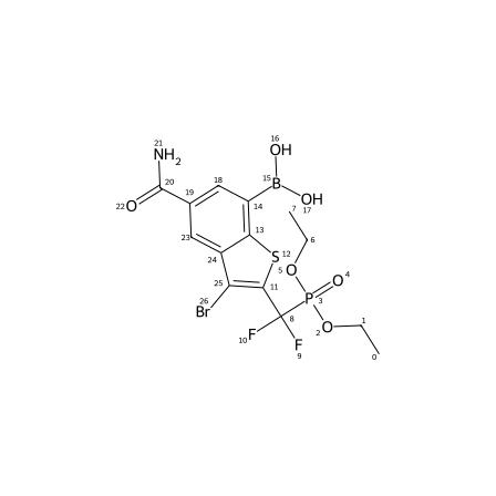 CCOP(=O)(OCC)C(F)(F)c1sc2c(B(O)O)cc(C(N)=O)cc2c1Br